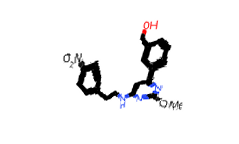 COc1nc(NCCc2ccc([N+](=O)[O-])cc2)cc(-c2cccc(CO)c2)n1